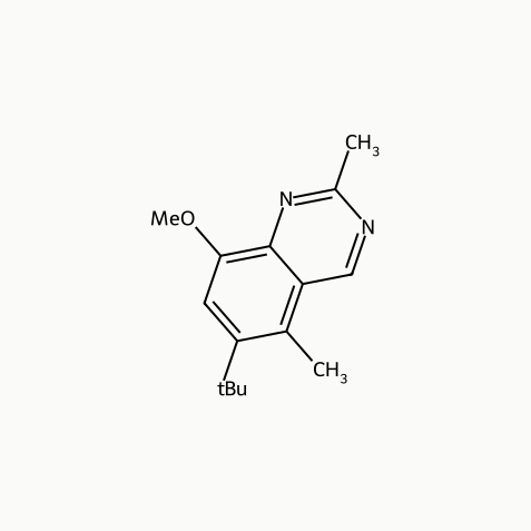 COc1cc(C(C)(C)C)c(C)c2cnc(C)nc12